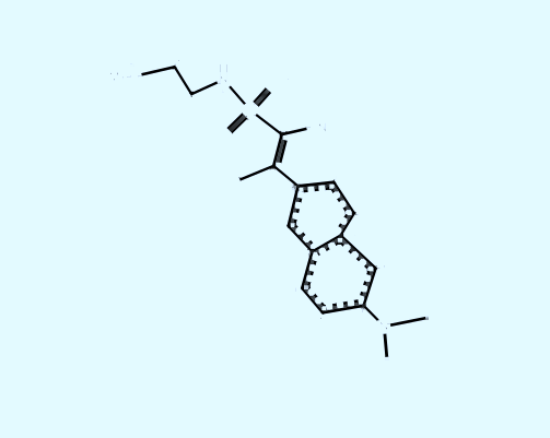 CCN(CC)c1ccc2cc(/C(C)=C(\C#N)S(=O)(=O)NCCOC)ccc2c1